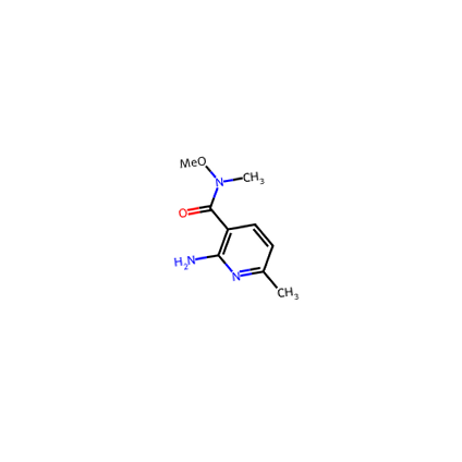 CON(C)C(=O)c1ccc(C)nc1N